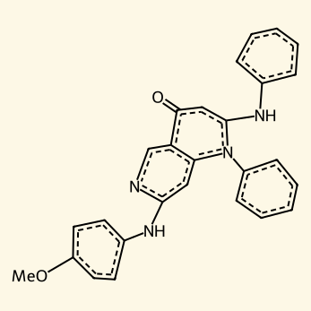 COc1ccc(Nc2cc3c(cn2)c(=O)cc(Nc2ccccc2)n3-c2ccccc2)cc1